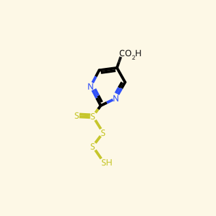 O=C(O)c1cnc(S(=S)SSS)nc1